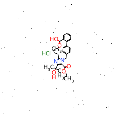 CCCc1nc(C(C)(C)O)c(C(=O)OCC)n1Cc1ccc(-c2ccccc2C(=O)O)cc1.Cl